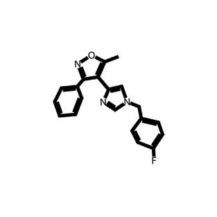 Cc1onc(-c2ccccc2)c1-c1cn(Cc2ccc(F)cc2)cn1